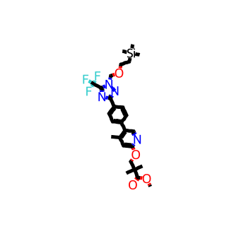 COC(=O)C(C)(C)COc1cc(C)c(-c2ccc(-c3nc(C(F)(F)F)n(COCC[Si](C)(C)C)n3)cc2)cn1